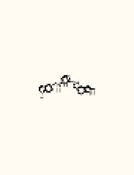 Cc1cc2cc(CNc3nccc(NCc4ccc5[nH]ccc5c4)n3)ccc2[nH]1